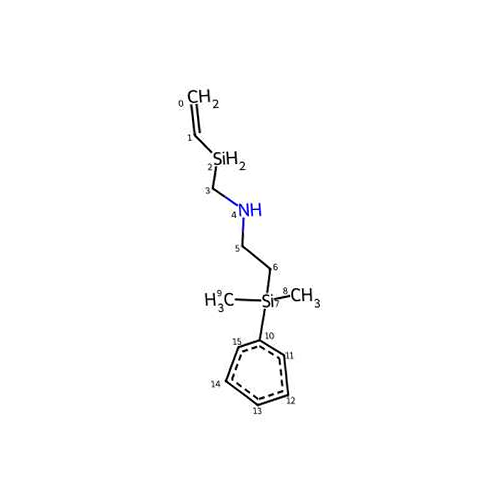 C=C[SiH2]CNCC[Si](C)(C)c1ccccc1